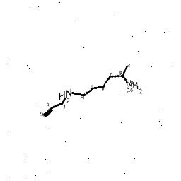 C=CCNCCCCC(C)N